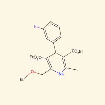 CCOCC1=C(C(=O)OCC)C(c2cccc(I)c2)C(C(=O)OCC)=C(C)N1